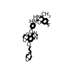 C[C@H](NC(=O)Nc1ccc(Oc2ncnc3cc(OCCCN4CCOCC4)c4c(c23)OCCO4)cc1)c1ccc(F)cc1